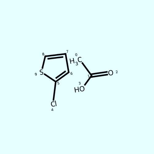 CC(=O)O.Clc1cccs1